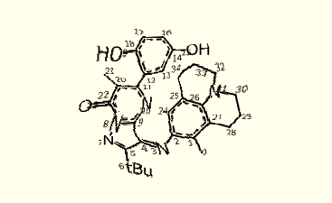 Cc1c(/N=C2/C(C(C)(C)C)=Nn3c2nc(-c2cc(O)ccc2O)c(C)c3=O)cc2c3c1CCCN3CCC2